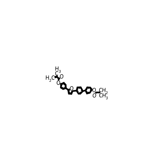 C=C(C)C(=O)Oc1ccc(-c2ccc(-c3ccc(-c4ccc(OC(=O)C(=C)C)cc4)o3)cc2)cc1